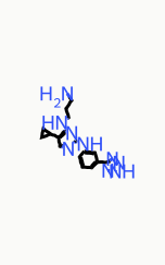 NCCCNc1nc(Nc2cccc(-c3nn[nH]n3)c2)ncc1C1CC1